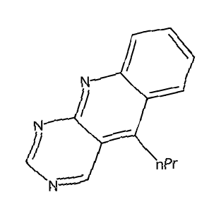 CCCc1c2ccccc2nc2ncncc12